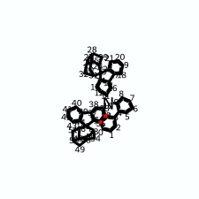 c1ccc(-c2ccccc2N(c2ccc3c(c2)-c2ccccc2C32C3CC4CC(C3)CC2C4)c2ccc3c(c2)-c2ccccc2C32C3CC4CC(C3)CC2C4)cc1